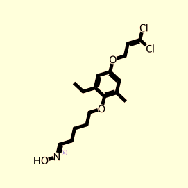 CCc1cc(OCC=C(Cl)Cl)cc(C)c1OCCCC/C=N/O